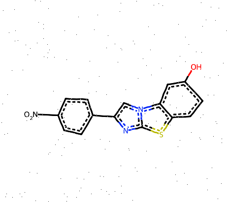 O=[N+]([O-])c1ccc(-c2cn3c(n2)sc2ccc(O)cc23)cc1